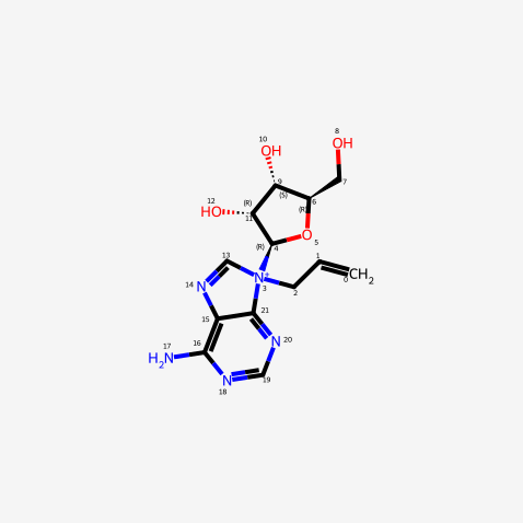 C=CC[N+]1([C@@H]2O[C@H](CO)[C@@H](O)[C@H]2O)C=Nc2c(N)ncnc21